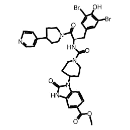 COC(=O)c1ccc2c(c1)[nH]c(=O)n2C1CCN(C(=O)N[C@H](Cc2cc(Br)c(O)c(Br)c2)C(=O)N2CCC(c3ccncc3)CC2)CC1